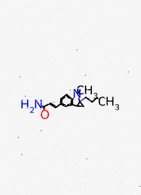 CCCC[C@@]12CC1c1cc(/C=C/C(N)=O)ccc1N2C